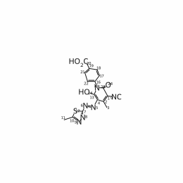 [C-]#[N+]c1c(C)c(N=Nc2nnc(C)s2)c(O)n(-c2ccc(C(=O)O)cc2)c1=O